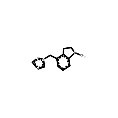 CN1CCc2c(Cn3cncn3)cccc21